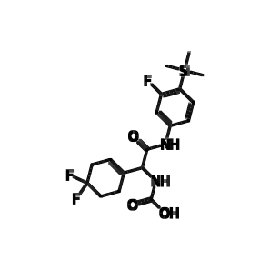 C[Si](C)(C)c1ccc(NC(=O)C(NC(=O)O)C2=CCC(F)(F)CC2)cc1F